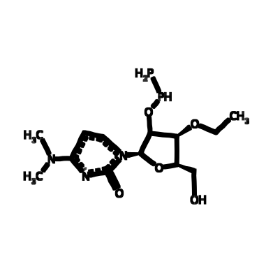 CCO[C@@H]1C(OPP)[C@H](n2ccc(N(C)C)nc2=O)O[C@@H]1CO